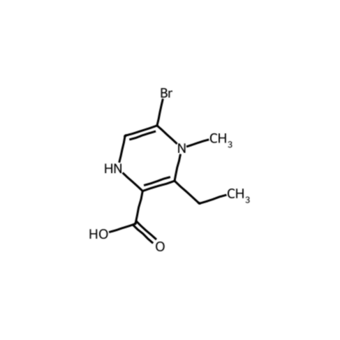 CCC1=C(C(=O)O)NC=C(Br)N1C